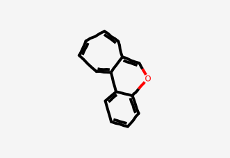 C1=CC=C2C(=COc3ccccc32)C=C1